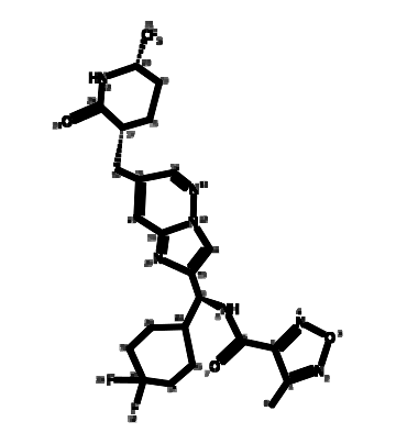 Cc1nonc1C(=O)N[C@H](c1cn2ncc(C[C@H]3CC[C@@H](C(F)(F)F)NC3=O)cc2n1)C1CCC(F)(F)CC1